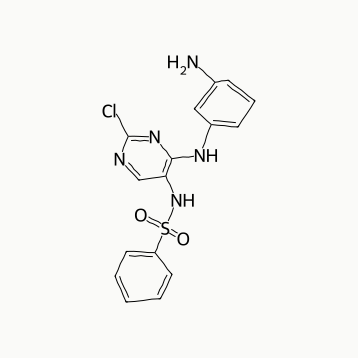 Nc1cccc(Nc2nc(Cl)ncc2NS(=O)(=O)c2ccccc2)c1